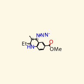 CC[C@@H]1Nc2ccc(C(=O)OC)cc2[C@@H](N=[N+]=[N-])[C@@H]1C